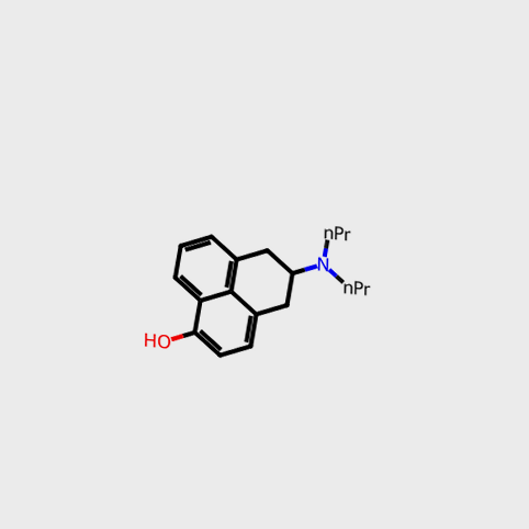 CCCN(CCC)C1Cc2cccc3c(O)ccc(c23)C1